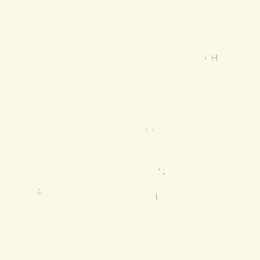 CCN(Cc1ccc(C)cc1)C(=O)c1ccc(C(C)=O)cc1